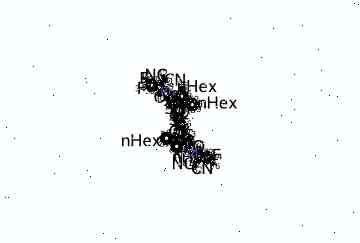 CCCCCCc1ccc(C2(c3ccc(CCCCCC)cc3)Oc3c(sc4c5c(sc34)-c3sc4cc(/C=C6\C(=O)c7cc(F)c(F)cc7C6=C(C#N)C#N)sc4c3C(c3ccc(CCCCCC)cc3)(c3ccc(CCCCCC)cc3)O5)-c3sc4cc(/C=C5\C(=O)c6cc(F)c(F)cc6C5=C(C#N)C#N)sc4c32)cc1